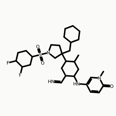 CC1CC(Nc2ccc(=O)n(C)c2)C(C=N)CC1C1(CC2CCCCC2)CCN(S(=O)(=O)C2CCC(F)C(F)C2)C1